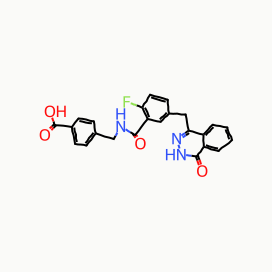 O=C(O)c1ccc(CNC(=O)c2cc(Cc3n[nH]c(=O)c4ccccc34)ccc2F)cc1